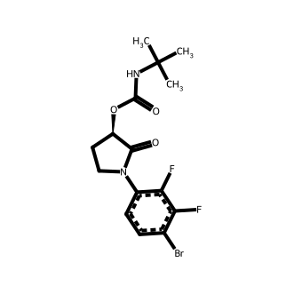 CC(C)(C)NC(=O)O[C@@H]1CCN(c2ccc(Br)c(F)c2F)C1=O